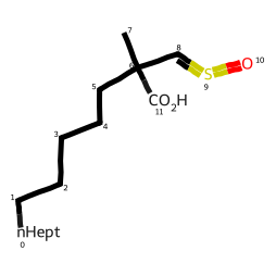 CCCCCCCCCCCCC(C)(C=S=O)C(=O)O